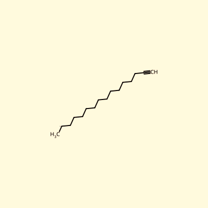 C#CCCCCCCCCCCCC[CH]C